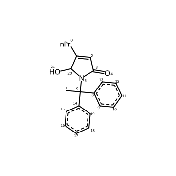 CCCC1=CC(=O)N(C(C)(c2ccccc2)c2ccccc2)C1O